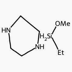 C1CNCCN1.CC[SiH2]OC